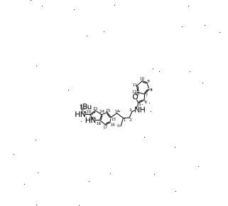 CC(CCNc1cc2ccccc2o1)Cc1ccc2[nH]c(NC(C)(C)C)cc2c1